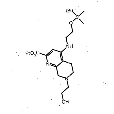 CCOC(=O)c1cc(NCCO[Si](C)(C)C(C)(C)C)c2c(n1)CN(CCO)CC2